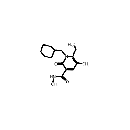 CCc1c(C)cc(C(=O)NC)c(=O)n1CC1CCCCC1